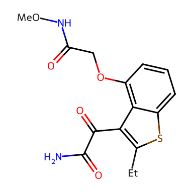 CCc1sc2cccc(OCC(=O)NOC)c2c1C(=O)C(N)=O